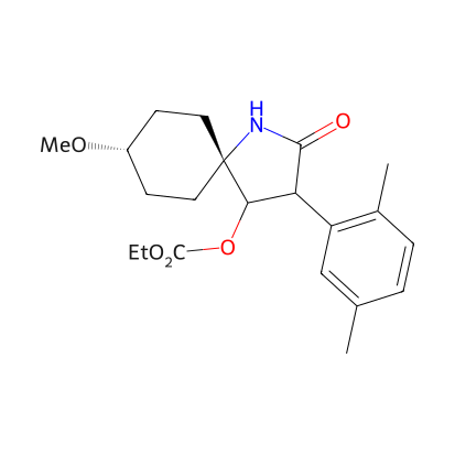 CCOC(=O)OC1C(c2cc(C)ccc2C)C(=O)N[C@]12CC[C@@H](OC)CC2